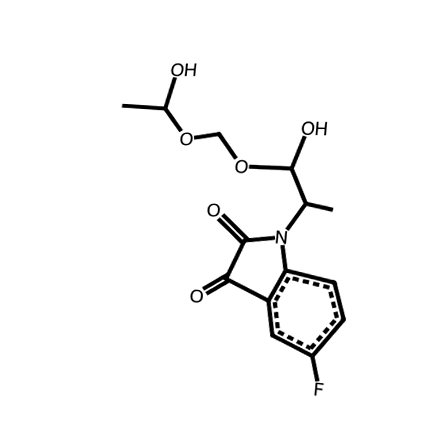 CC(O)OCOC(O)C(C)N1C(=O)C(=O)c2cc(F)ccc21